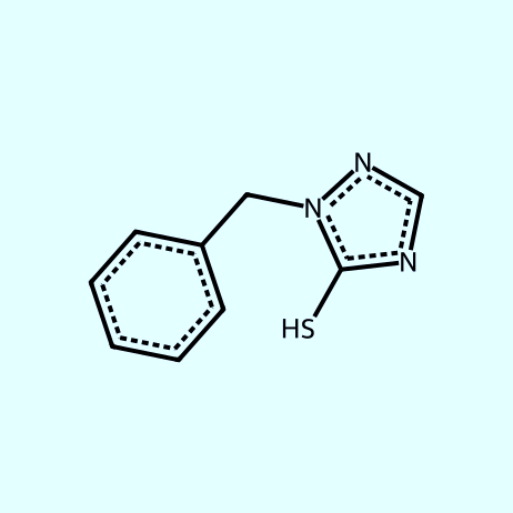 Sc1ncnn1Cc1ccccc1